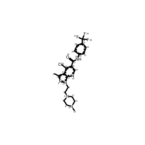 Cc1nn(CCN2CCN(C)CC2)c2ncc(C(=O)Nc3ccc(C(F)(F)F)cc3)c(Cl)c12